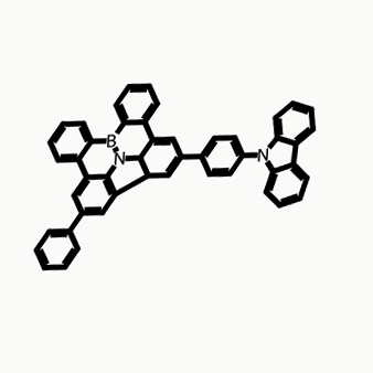 C1=C(c2ccc(-n3c4ccccc4c4ccccc43)cc2)C=C2c3ccccc3B3c4ccccc4-c4cc(-c5ccccc5)cc5c4N3C2C15